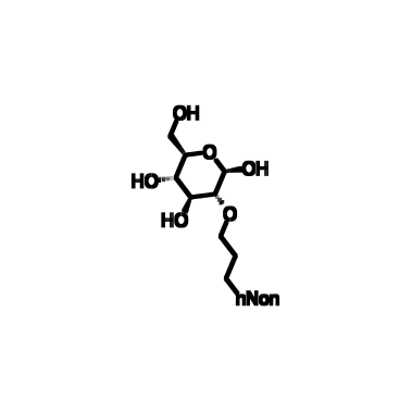 CCCCCCCCCCCCO[C@@H]1[C@@H](O)[C@H](O)[C@@H](CO)O[C@H]1O